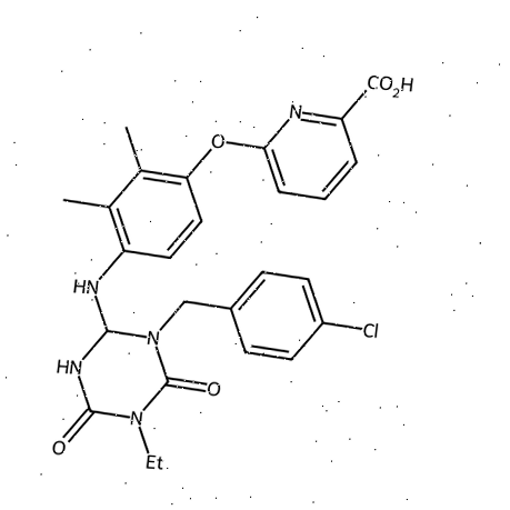 CCN1C(=O)NC(Nc2ccc(Oc3cccc(C(=O)O)n3)c(C)c2C)N(Cc2ccc(Cl)cc2)C1=O